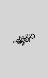 CC1(C)[C@H]2CC[C@@](C)(Nc3cnn(C4CCCCO4)c(=O)c3O)[C@H]1C2